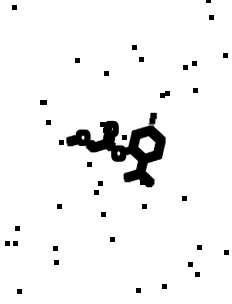 COCC(=O)O[C@H]1C[C@H](C)CCC1C(C)C